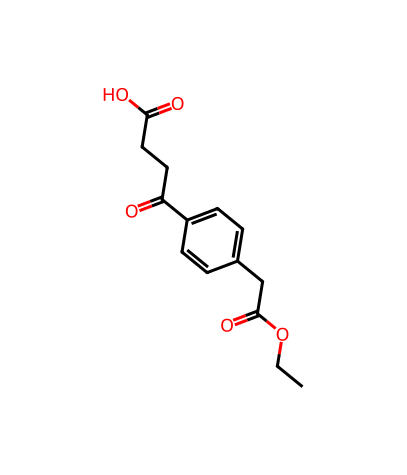 CCOC(=O)Cc1ccc(C(=O)CCC(=O)O)cc1